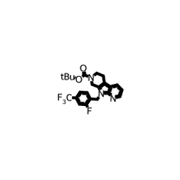 CC(C)(C)OC(=O)N1CCc2c(n(Cc3ccc(C(F)(F)F)cc3F)c3ncccc23)C1